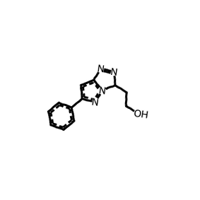 OCCC1N=Nc2cc(-c3ccccc3)nn21